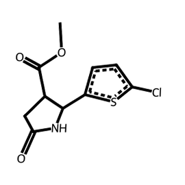 COC(=O)C1CC(=O)NC1c1ccc(Cl)s1